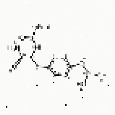 CCCCCC(=O)NC(Cc1ccc(OP(O)O)cc1)C(N)=O